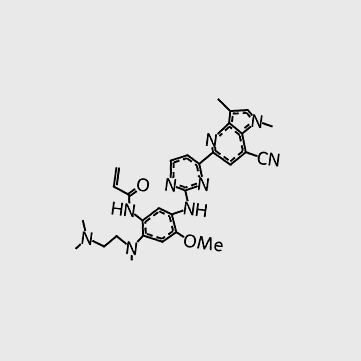 C=CC(=O)Nc1cc(Nc2nccc(-c3cc(C#N)c4c(n3)c(C)cn4C)n2)c(OC)cc1N(C)CCN(C)C